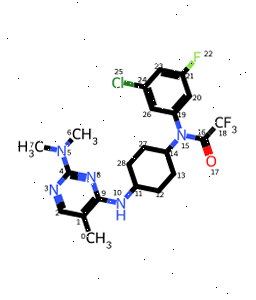 Cc1cnc(N(C)C)nc1NC1CCC(N(C(=O)C(F)(F)F)c2cc(F)cc(Cl)c2)CC1